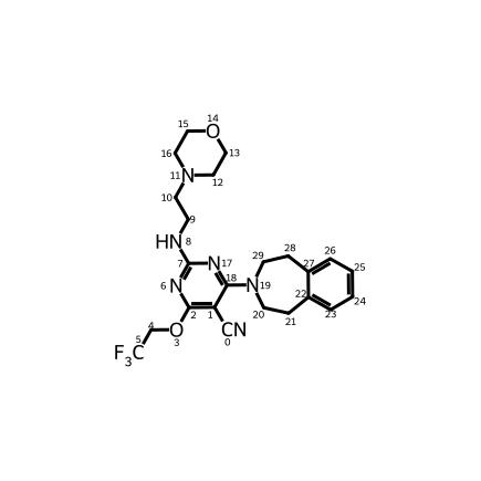 N#Cc1c(OCC(F)(F)F)nc(NCCN2CCOCC2)nc1N1CCc2ccccc2CC1